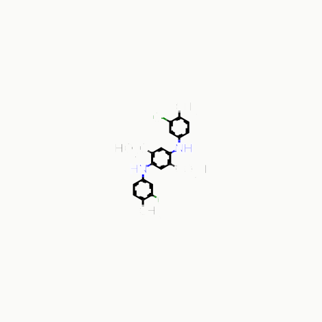 Cc1ccc(Nc2cc(C(=O)O)c(Nc3ccc(C)c(Cl)c3)cc2C(=O)O)cc1Cl